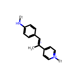 CCNc1ccc(/C=C(\C)c2cc[n+](CC)cc2)cc1